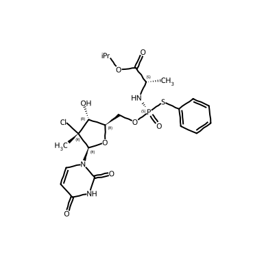 CC(C)OC(=O)[C@H](C)N[P@](=O)(OC[C@H]1O[C@@H](n2ccc(=O)[nH]c2=O)[C@](C)(Cl)[C@@H]1O)Sc1ccccc1